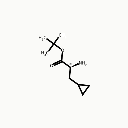 CC(C)(C)OC(=O)[C@@H](N)CC1CC1